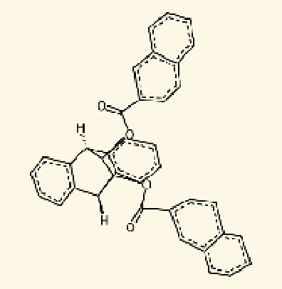 O=C(OC1C(OC(=O)c2ccc3ccccc3c2)[C@H]2c3ccccc3[C@H]1c1ccccc12)c1ccc2ccccc2c1